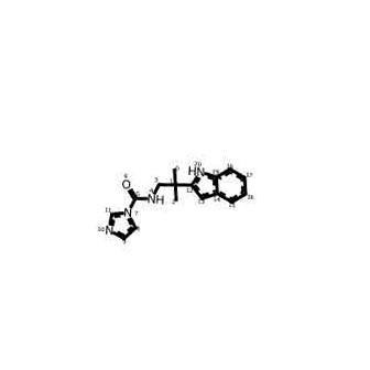 CC(C)(CNC(=O)n1ccnc1)c1cc2ccccc2[nH]1